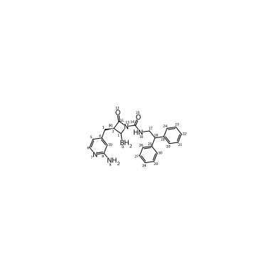 BC1[C@@H](Cc2ccnc(N)c2)C(=O)N1C(=O)NCC(c1ccccc1)c1ccccc1